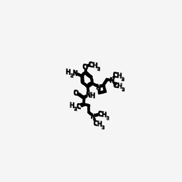 C=C(CCN(C)C)C(=O)Nc1cc(N)c(OC)cc1N1CCC1CN(C)C